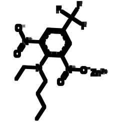 CCCCN(CC)c1c([N+](=O)[O-])cc(C(F)(F)F)cc1[N+](=O)[O-].[Zn+2]